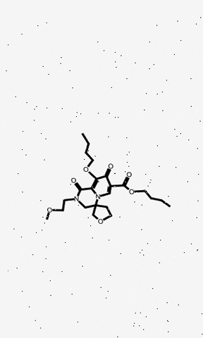 CCCCOC(=O)c1cn2c(c(OCCCC)c1=O)C(=O)N(CCOC)CC21CCOC1